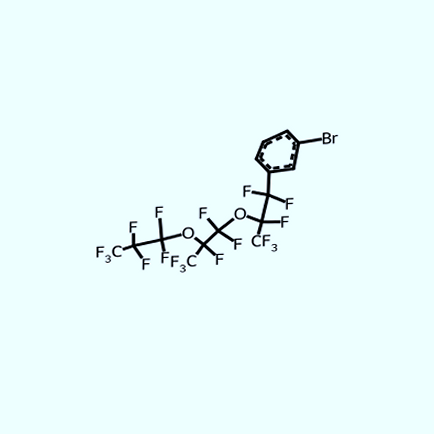 FC(F)(F)C(F)(F)C(F)(F)OC(F)(C(F)(F)F)C(F)(F)OC(F)(C(F)(F)F)C(F)(F)c1cccc(Br)c1